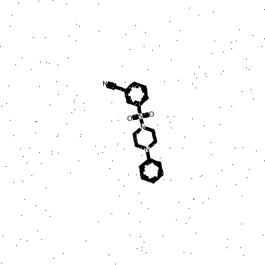 N#Cc1cccc(S(=O)(=O)N2CCN(c3cc[c]cc3)CC2)c1